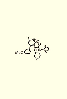 COc1cccc(-c2cc(C)[nH]c(=O)c2[C@H](CC2CCCCC2)C(=O)Nc2nccs2)c1